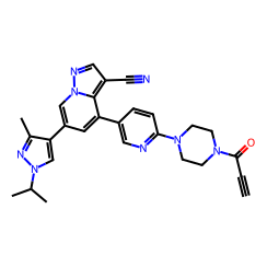 C#CC(=O)N1CCN(c2ccc(-c3cc(-c4cn(C(C)C)nc4C)cn4ncc(C#N)c34)cn2)CC1